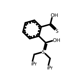 CC(C)CS(CC(C)C)=C(O)c1ccccc1C(O)=S